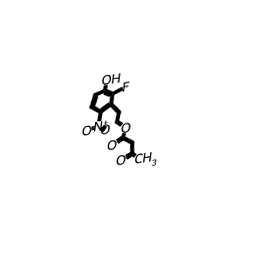 CC(=O)CC(=O)OCCc1c([N+](=O)[O-])ccc(O)c1F